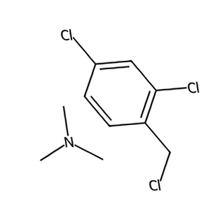 CN(C)C.ClCc1ccc(Cl)cc1Cl